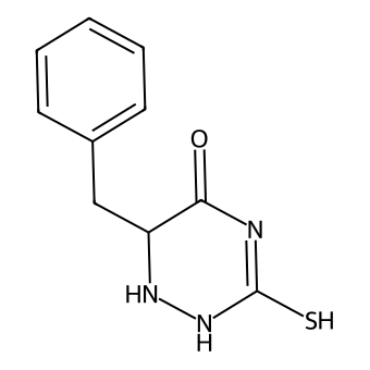 O=C1N=C(S)NNC1Cc1ccccc1